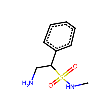 CNS(=O)(=O)C(CN)c1ccccc1